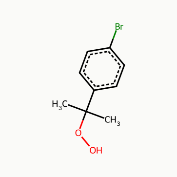 CC(C)(OO)c1ccc(Br)cc1